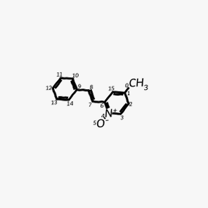 Cc1cc[n+]([O-])c(C=Cc2ccccc2)c1